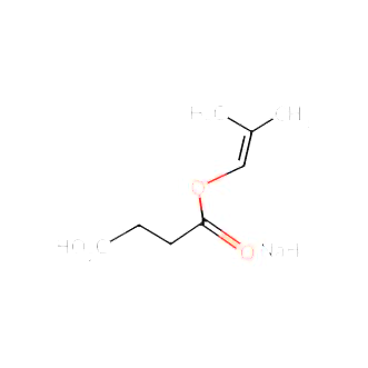 CC(C)=COC(=O)CCC(=O)O.[NaH]